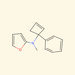 CN(c1ccco1)C1(c2ccccc2)C=CC1